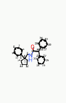 O=C(NCC1(c2ccccc2)CCCC1)C(c1ccccc1)c1ccccc1